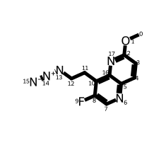 COc1ccc2ncc(F)c(CCN=[N+]=[N-])c2n1